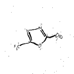 O=Cc1nnc(C(F)(F)F)o1